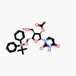 CC(=O)O[C@@H]1[C@H](CO)[C@@H](CO[Si](c2ccccc2)(C2C=CC=CC2)C(C)(C)C)O[C@H]1n1ccc(=O)[nH]c1=O